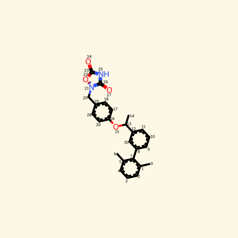 Cc1cccc(C)c1-c1cccc(C(C)Oc2ccc(Cn3oc(=O)[nH]c3=O)cc2)c1